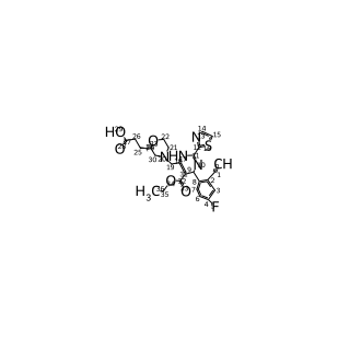 C#Cc1cc(F)ccc1C1N=C(c2nccs2)NC(CN2CCO[C@H](CCC(=O)O)C2)=C1C(=O)OCC